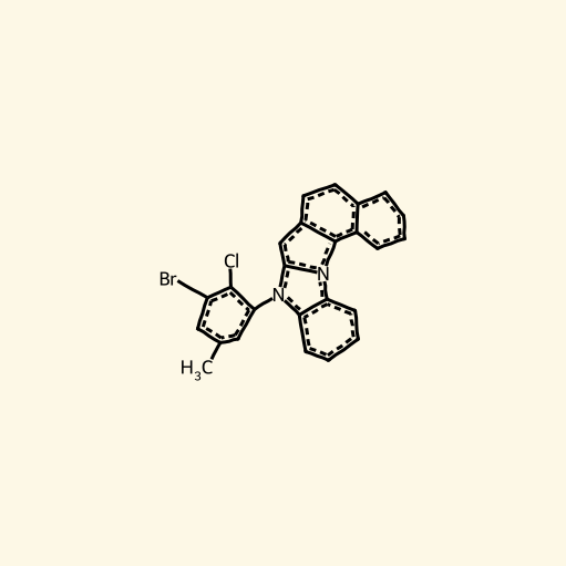 Cc1cc(Br)c(Cl)c(-n2c3ccccc3n3c4c(ccc5ccccc54)cc23)c1